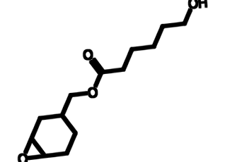 O=C(CCCCCO)OCC1CCC2OC2C1